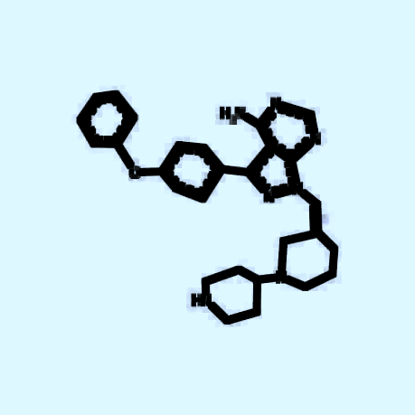 Nc1ncnc2c1c(-c1ccc(Oc3ccccc3)cc1)nn2/C=C1/CCCN(C2CCNCC2)C1